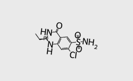 CC[C@H]1NC(=O)c2cc(S(N)(=O)=O)c(Cl)cc2N1